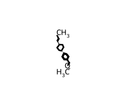 CC/C=C/[C@H]1CC[C@H](c2ccc(COCC)cc2)CC1